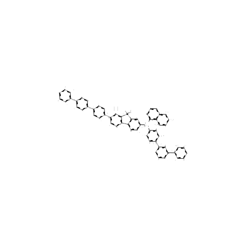 CC1(C)c2cc(-c3ccc(-c4ccc(-c5ccccc5)cc4)cc3)ccc2-c2ccc(N(c3ccc(-c4cccc(-c5ccccc5)c4)cc3)c3cccc4ccccc34)cc21